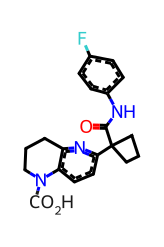 O=C(O)N1CCCc2nc(C3(C(=O)Nc4ccc(F)cc4)CCC3)ccc21